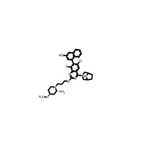 CO[C@H]1CCN(CCCOc2nc(N3CC4CCC(C3)N4)c3cc(Cl)c(-c4cc(O)cc5ccccc45)c(F)c3n2)[C@H](C)C1